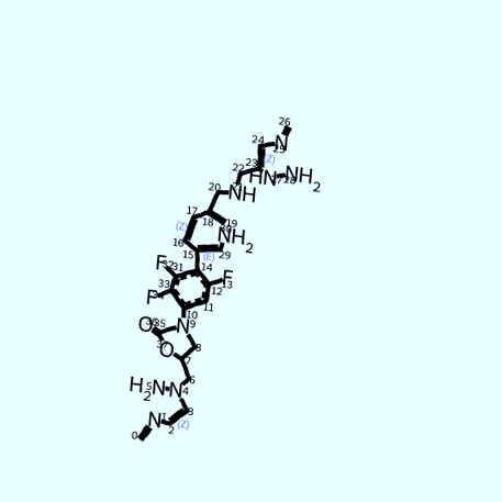 C=N/C=C\N(N)CC1CN(c2cc(F)c(C(/C=C\C(=C)CNC/C(=C/N=C)NN)=C/N)c(F)c2F)C(=O)O1